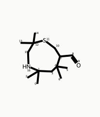 CC1(C)CC(C)(C)C(C=O)CSC(C)(C)CN1